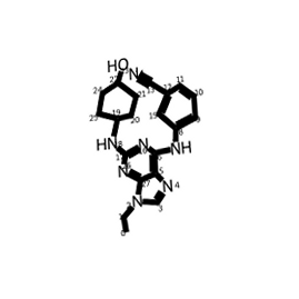 CCn1cnc2c(Nc3cccc(C#N)c3)nc(NC3CCC(O)CC3)nc21